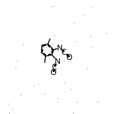 Cc1ccc(C)c(N=C=O)c1N=C=O